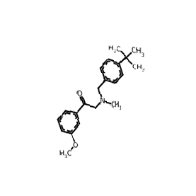 COc1cccc(C(=O)CN(C)Cc2ccc(C(C)(C)C)cc2)c1